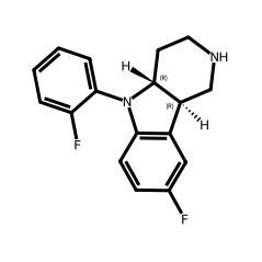 Fc1ccc2c(c1)[C@@H]1CNCC[C@H]1N2c1ccccc1F